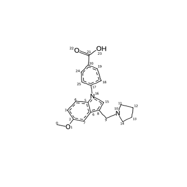 COc1ccc2c(c1)c(CN1CCCC1)cn2-c1ccc(C(=O)O)cc1